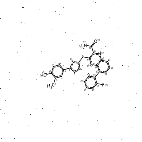 Cc1cc(-c2ccc(Cc3nc4c(-c5ccccc5F)cccc4nc3C(N)=O)s2)ccc1O